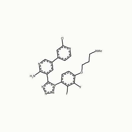 CNCCCOc1ccc(-n2nnnc2-c2cc(-c3ccnc(Cl)c3)cnc2N)c(F)c1F